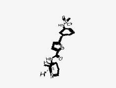 C[C@H]1[C@H](NC(=O)c2ccc(-c3cccc(NS(C)(=O)=O)c3)s2)C2CCN1CC2